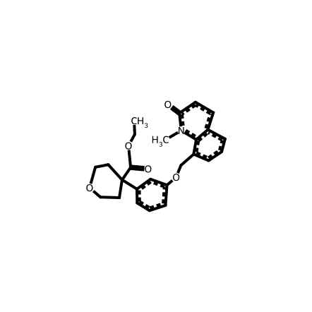 CCOC(=O)C1(c2cccc(OCc3cccc4ccc(=O)n(C)c34)c2)CCOCC1